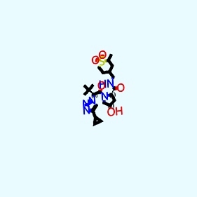 CC1CC(CNC(=O)[C@@H]2C[C@@H](O)CN2C(=O)[C@@H](n2cc(C3CC3)nn2)C(C)(C)C)CCS1(=O)=O